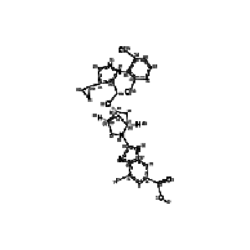 COC(=O)c1cc(F)c2nc(N3C[C@@H]4C[C@H]3C[C@H]4OCc3c(C4CC4)cnn3-c3c(Cl)cccc3Cl)sc2c1